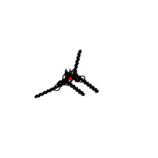 CCCCCCCCCCCCOc1ccc2cc(S(=O)(=O)C(=[N+]=[N-])S(=O)(=O)c3cc4ccc(OCCCCCCCCCCCC)cc4cc3OCCCCCCCCCCCC)c(OCCCCCCCCCCCC)cc2c1